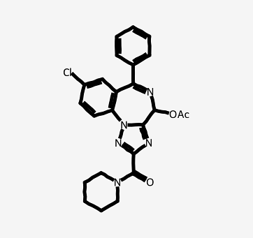 CC(=O)OC1N=C(c2ccccc2)c2cc(Cl)ccc2-n2nc(C(=O)N3CCCCC3)nc21